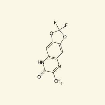 Cc1nc2cc3c(cc2[nH]c1=O)OC(F)(F)O3